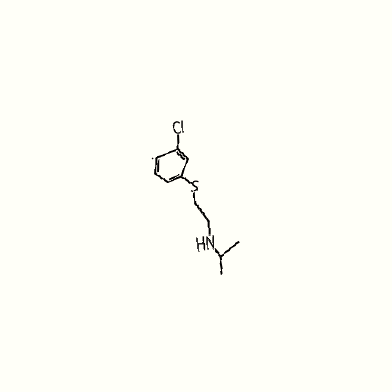 CC(C)NCCSc1cc[c]c(Cl)c1